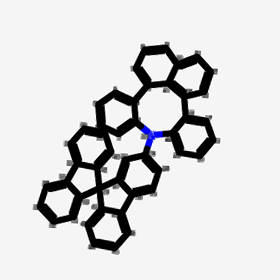 c1ccc2c(c1)-c1cccc3cccc(c13)-c1ccccc1N2c1ccc2c(c1)C1(c3ccccc3-c3ccccc31)c1ccccc1-2